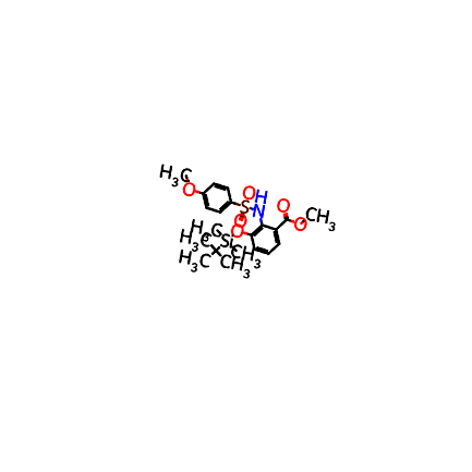 COC(=O)c1cccc(O[Si](C)(C)C(C)(C)C)c1NS(=O)(=O)c1ccc(OC)cc1